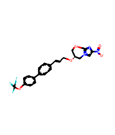 O=[N+]([O-])c1cn2c(n1)OC[C@@H](OC/C=C/c1ccc(-c3ccc(OC(F)(F)F)cc3)cc1)C2